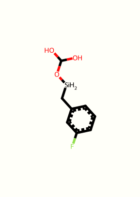 OC(O)O[SiH2]Cc1cccc(F)c1